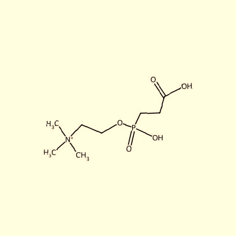 C[N+](C)(C)CCOP(=O)(O)CCC(=O)O